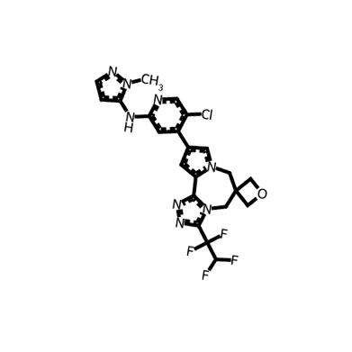 Cn1nccc1Nc1cc(-c2cc3n(c2)CC2(COC2)Cn2c-3nnc2C(F)(F)C(F)F)c(Cl)cn1